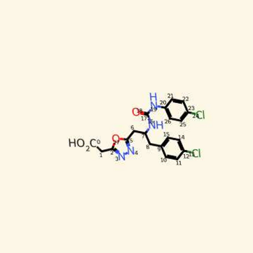 O=C(O)Cc1nnc(CC(Cc2ccc(Cl)cc2)NC(=O)Nc2ccc(Cl)cc2)o1